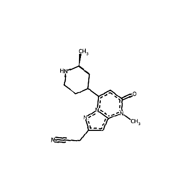 C[C@H]1CC(c2cc(=O)n(C)c3cc(CC#N)nn23)CCN1